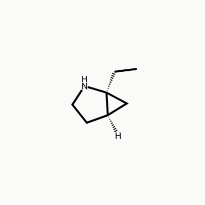 CC[C@]12C[C@H]1CCN2